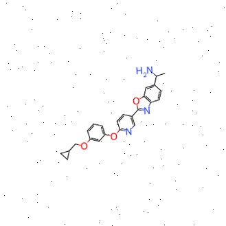 CC(N)c1ccc2nc(-c3ccc(Oc4cccc(OCC5CC5)c4)nc3)oc2c1